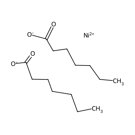 CCCCCCC(=O)[O-].CCCCCCC(=O)[O-].[Ni+2]